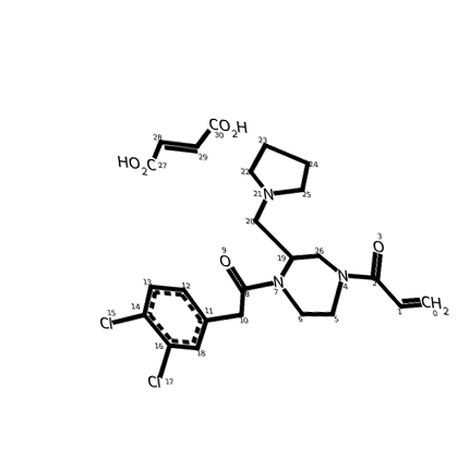 C=CC(=O)N1CCN(C(=O)Cc2ccc(Cl)c(Cl)c2)C(CN2CCCC2)C1.O=C(O)/C=C/C(=O)O